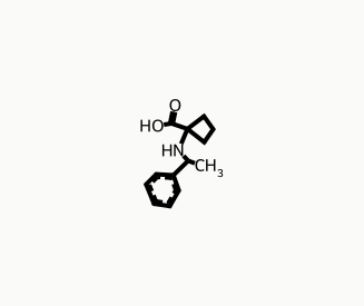 CC(NC1(C(=O)O)CCC1)c1ccccc1